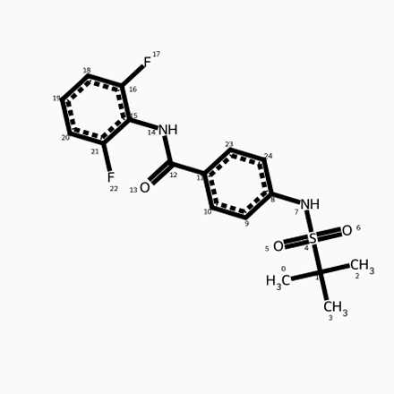 CC(C)(C)S(=O)(=O)Nc1ccc(C(=O)Nc2c(F)cccc2F)cc1